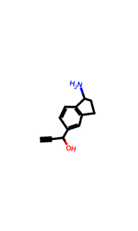 C#CC(O)c1ccc2c(c1)CCC2N